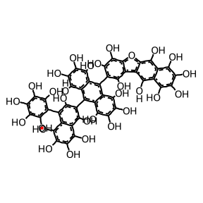 Oc1c(O)c(O)c(-c2c(O)c(-c3c4c(O)c(O)c(O)c(O)c4c(-c4c(O)c(O)c5oc6c(O)c7c(O)c(O)c(O)c(O)c7c(O)c6c5c4O)c4c(O)c(O)c(O)c(O)c34)c(O)c3c(O)c(O)c(O)c(O)c23)c(O)c1O